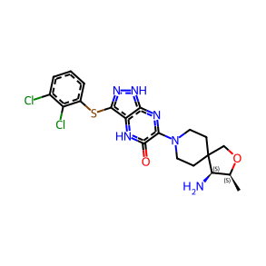 C[C@@H]1OCC2(CCN(c3nc4[nH]nc(Sc5cccc(Cl)c5Cl)c4[nH]c3=O)CC2)[C@@H]1N